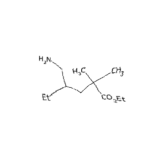 CCOC(=O)C(C)(C)CC(CC)CN